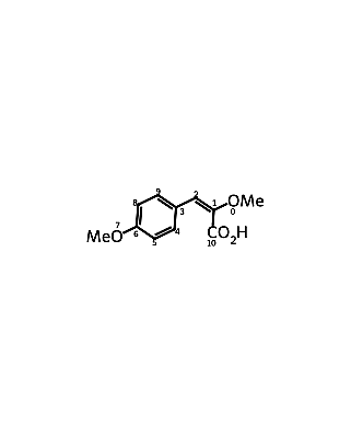 COC(=Cc1ccc(OC)cc1)C(=O)O